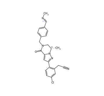 C/N=C/c1ccc(CN2C[C@H](C)n3nc(-c4ccc(Cl)cc4CC#N)cc3C2=O)cc1